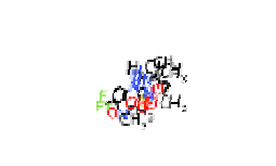 Cc1ccc([C@H](NC2=NS(=O)(=O)C=C2Nc2ccc(C(F)(F)F)c(C(=O)N(C)C)c2O)C(C)(C)C)o1